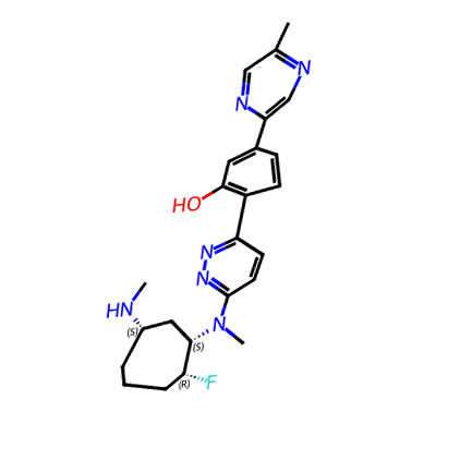 CN[C@H]1CCC[C@@H](F)[C@@H](N(C)c2ccc(-c3ccc(-c4cnc(C)cn4)cc3O)nn2)C1